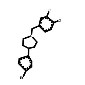 CCc1ccc(C2CCN(Cc3ccc(Cl)c(Cl)c3)CC2)cc1